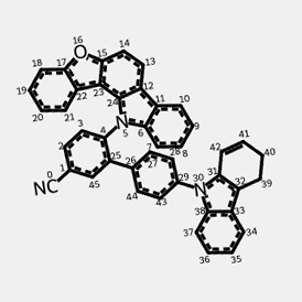 N#Cc1ccc(-n2c3ccccc3c3ccc4oc5ccccc5c4c32)c(-c2ccc(-n3c4c(c5ccccc53)CCC=C4)cc2)c1